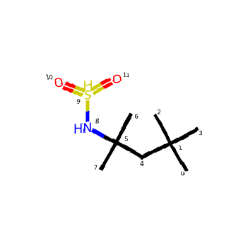 CC(C)(C)CC(C)(C)N[SH](=O)=O